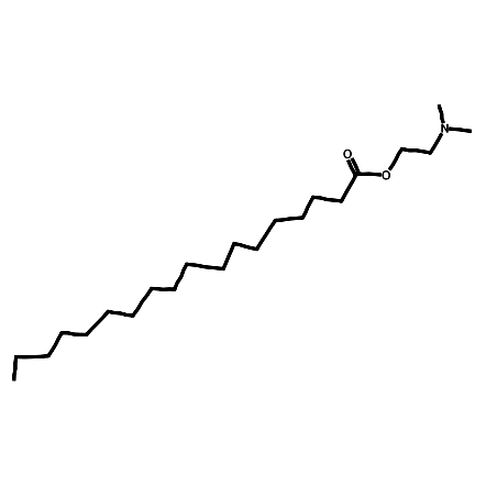 CCCCCCCCCCCCCCCCCC(=O)OCCN(C)C